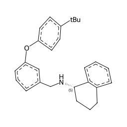 CC(C)(C)c1ccc(Oc2cccc(CN[C@H]3CCCc4ccccc43)c2)cc1